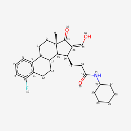 C[C@]12CCC3c4cccc(F)c4CCC3C1[C@H](CCC(=O)NC1CCCCC1)/C(=C/O)C2=O